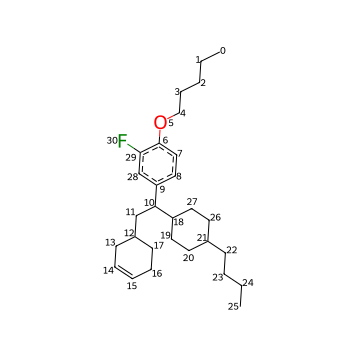 CCCCCOc1ccc(C(CC2CC=CCC2)C2CCC(CCCC)CC2)cc1F